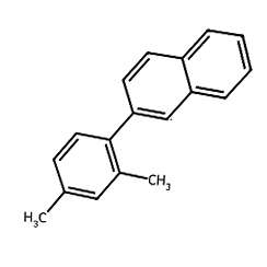 Cc1ccc(-c2[c]c3ccccc3cc2)c(C)c1